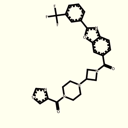 O=C(c1ccc2nc(-c3cccc(C(F)(F)F)c3)oc2c1)N1CC(N2CCN(C(=O)c3cscn3)CC2)C1